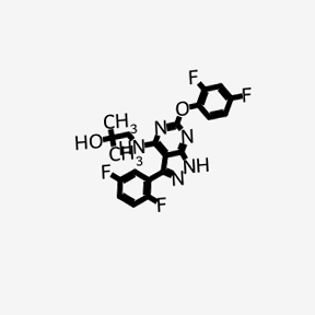 CC(C)(O)CNc1nc(Oc2ccc(F)cc2F)nc2[nH]nc(-c3cc(F)ccc3F)c12